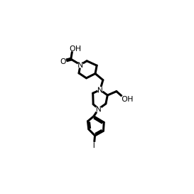 O=C(O)N1CCC(CN2CCN(c3ccc(I)cc3)CC2CO)CC1